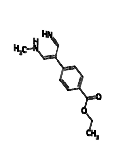 CCOC(=O)c1ccc(/C(C=N)=C/NC)cc1